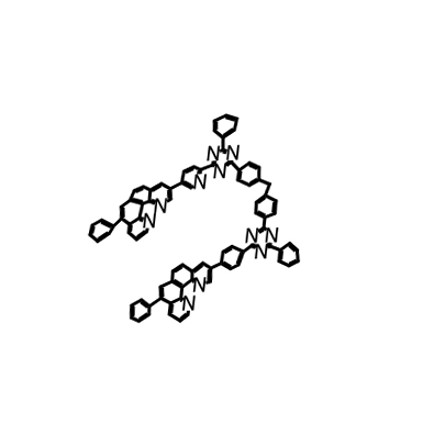 c1ccc(-c2nc(-c3ccc(Cc4ccc(-c5nc(-c6ccccc6)nc(-c6ccc(-c7cnc8c(ccc9cc(-c%10ccccc%10)c%10cccnc%10c98)c7)cn6)n5)cc4)cc3)nc(-c3ccc(-c4cnc5c(ccc6cc(-c7ccccc7)c7cccnc7c65)c4)cc3)n2)cc1